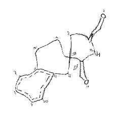 O=C1CC2(CCc3ccccc3C2)C(=O)N1